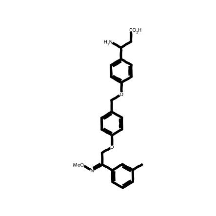 CO/N=C(\COc1ccc(COc2ccc(C(N)CC(=O)O)cc2)cc1)c1cccc(C)c1